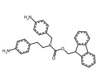 Nc1ccc(CCN(Cc2ccc(N)cc2)C(=O)OCC2c3ccccc3-c3ccccc32)cc1